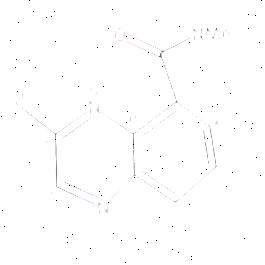 [CH2+][N-]C(=O)c1cccc2ncc(C)nc12